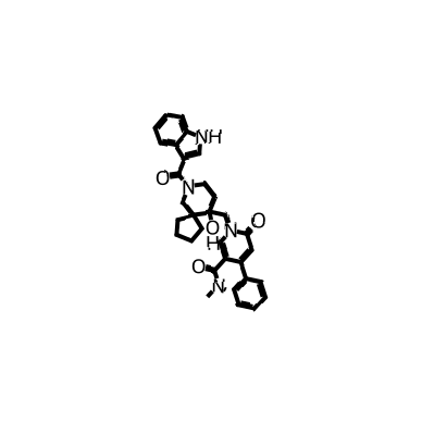 CN(C)C(=O)c1cn(CC2(O)CCN(C(=O)c3c[nH]c4ccccc34)CC23CCCC3)c(=O)cc1-c1ccccc1